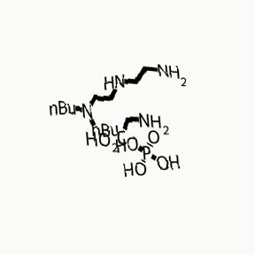 CCCCN(CCCC)CCNCCN.NCC(=O)O.O=P(O)(O)O